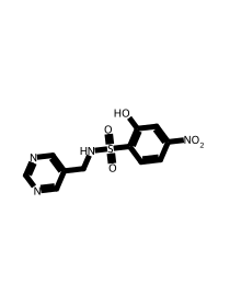 O=[N+]([O-])c1ccc(S(=O)(=O)NCc2cncnc2)c(O)c1